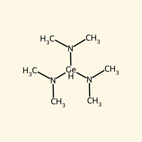 C[N](C)[GeH]([N](C)C)[N](C)C